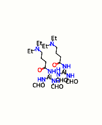 CCN(CC)CCCC(=O)[NH][Al]([NH]C=O)[NH]C=O.CCN(CC)CCCC(=O)[NH][Al]([NH]C=O)[NH]C=O